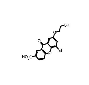 CCc1cc(OCCO)cc2c(=O)c3cc(C(=O)O)ccc3oc12